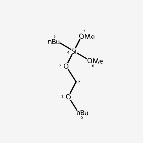 CCCCOCO[Si](CCCC)(OC)OC